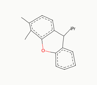 Cc1ccc2c(c1C)Oc1ccccc1C2C(C)C